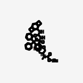 CN(C(=O)OC(C)(C)C)[C@@H]1COc2c([S@@](=O)(=NC(c3ccccc3)(c3ccccc3)c3ccccc3)NC(=O)Nc3c4c(cc5c3CC5)CC4)cnn2C1